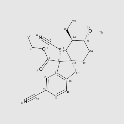 CCOC(=O)[C@]1(SC#N)c2cc(C#N)ccc2C[C@]12CC[C@@H](OC)[C@H](CC)C2